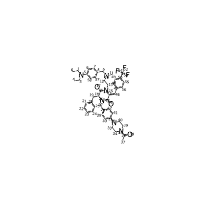 CCN(CC)c1ccc(CN(C)CCN(C)C(=O)[C@H](Cc2ccccc2)N(Cc2ccc(N3CCN(C(C)=O)CC3)cc2)C(=O)/C=C/c2ccc(C(F)(F)F)cc2)cc1